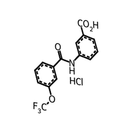 Cl.O=C(O)c1cccc(NC(=O)c2cccc(OC(F)(F)F)c2)c1